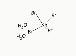 O.O.[Br][Sn]([Br])([Br])[Br]